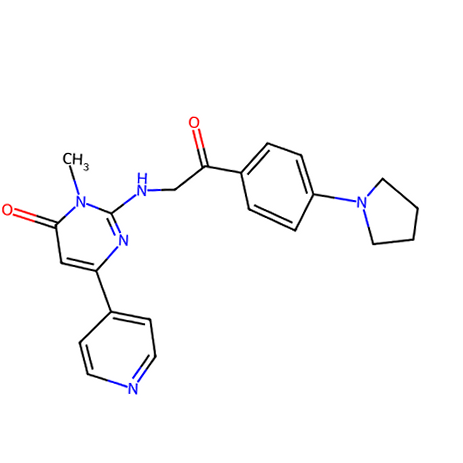 Cn1c(NCC(=O)c2ccc(N3CCCC3)cc2)nc(-c2ccncc2)cc1=O